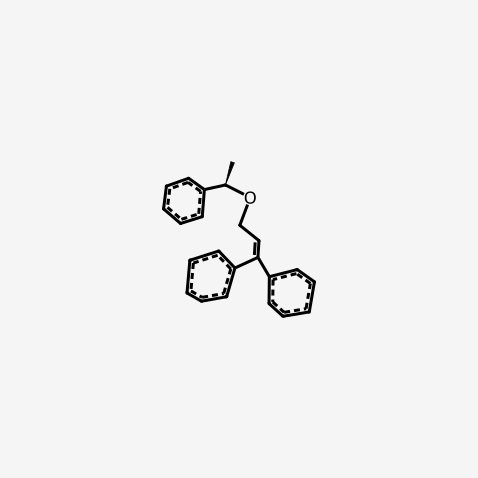 C[C@@H](OCC=C(c1ccccc1)c1ccccc1)c1ccccc1